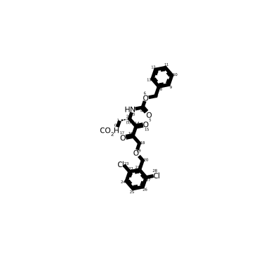 O=C(O)C[C@H](NC(=O)OCc1ccccc1)C(=O)C(=O)COCc1c(Cl)cccc1Cl